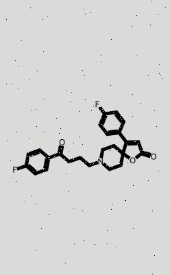 O=C1C=C(c2ccc(F)cc2)C2(CCN(CCCC(=O)c3ccc(F)cc3)CC2)O1